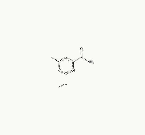 COc1cc(C)cc(C(N)=O)n1